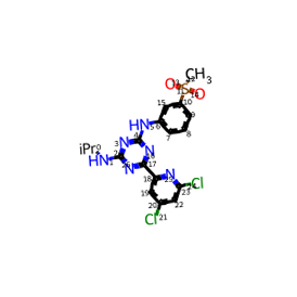 CC(C)Nc1nc(Nc2cccc(S(C)(=O)=O)c2)nc(-c2cc(Cl)cc(Cl)n2)n1